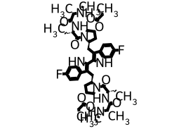 CCC(=O)O[C@H]1C[C@@H](Cc2c(-c3[nH]c4cc(F)ccc4c3C[C@@H]3C[C@H](OC(=O)CC)CN3C(=O)[C@H](CC)NC(=O)[C@H](C)NC)[nH]c3cc(F)ccc23)N(C(=O)[C@H](CC)NC(=O)[C@H](C)NC)C1